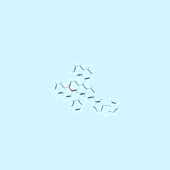 C1=CC2Sc3ccc(-c4ccc5c(-c6cccc7ccccc67)c6ccccc6c(-c6ccccc6-c6ccc7ccccc7c6)c5c4)cc3C2C=C1